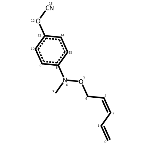 C=C/C=C\CON(C)c1ccc(OC#N)cc1